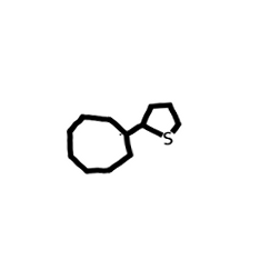 C1CCC[C](C2CCCS2)CCC1